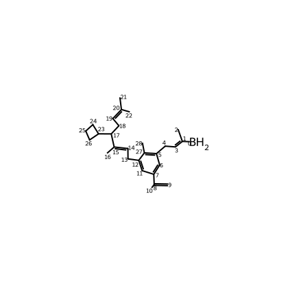 B/C(C)=C/Cc1cc(C(=C)C)cc(C/C=C(\C)C(CC=C(C)C)C2CCC2)c1C